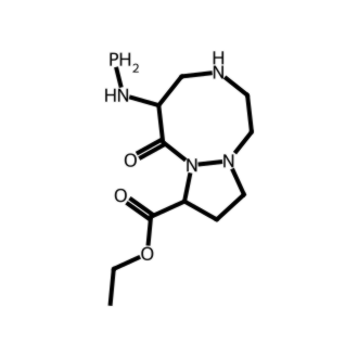 CCOC(=O)C1CCN2CCNCC(NP)C(=O)N12